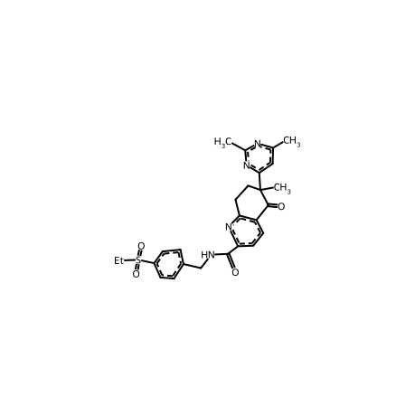 CCS(=O)(=O)c1ccc(CNC(=O)c2ccc3c(n2)CCC(C)(c2cc(C)nc(C)n2)C3=O)cc1